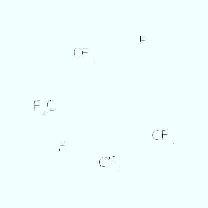 FC1=C(C(F)(F)F)C(F)(C(F)(F)F)C1(C(F)(F)F)C(F)(F)F